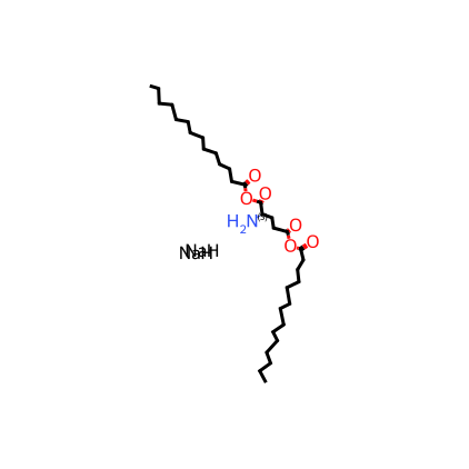 CCCCCCCCCCCCCC(=O)OC(=O)CC[C@H](N)C(=O)OC(=O)CCCCCCCCCCCCC.[NaH].[NaH]